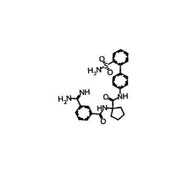 N=C(N)c1cccc(C(=O)NC2(C(=O)Nc3ccc(-c4ccccc4S(N)(=O)=O)cc3)CCCC2)c1